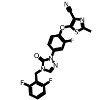 Cc1nc(C#N)c(Oc2ccc(-n3ncn(Cc4c(F)cccc4F)c3=O)cc2F)s1